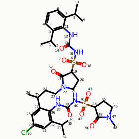 CC(C)c1cccc(C(C)C)c1NC(=O)NS(=O)(=O)C1CCN(CCC(C)c2cc(Cl)cc(C(C)C)c2NC(=O)NS(=O)(=O)C2CCN(C)C2=O)C1=O